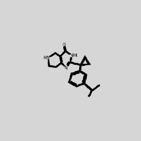 CC(C)c1cccc(C2(c3nc4c(c(=O)[nH]3)CNCC4)CC2)c1